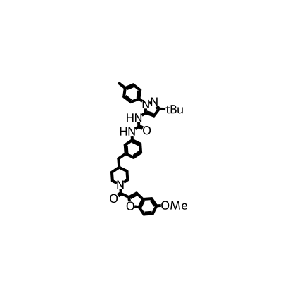 COc1ccc2oc(C(=O)N3CCC(Cc4cccc(NC(=O)Nc5cc(C(C)(C)C)nn5-c5ccc(C)cc5)c4)CC3)cc2c1